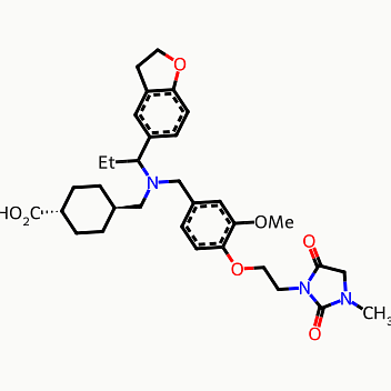 CCC(c1ccc2c(c1)CCO2)N(Cc1ccc(OCCN2C(=O)CN(C)C2=O)c(OC)c1)C[C@H]1CC[C@H](C(=O)O)CC1